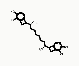 N[C@H](CCCCCC[C@@H](N)C1Cc2c1ccc(O)c2O)C1Cc2c1ccc(O)c2O